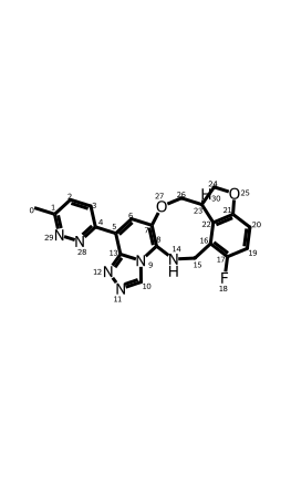 Cc1ccc(-c2cc3c(n4cnnc24)NCc2c(F)ccc4c2[C@@H](CO4)CO3)nn1